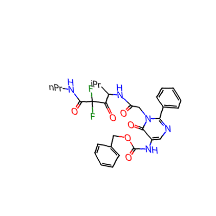 CCCNC(=O)C(F)(F)C(=O)C(NC(=O)Cn1c(-c2ccccc2)ncc(NC(=O)OCc2ccccc2)c1=O)C(C)C